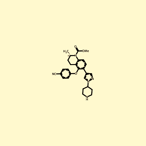 COC(=O)N1c2ccc(-c3cnn(C4CCNCC4)c3)c(Oc3ccc(C#N)cc3)c2CC[C@@H]1C